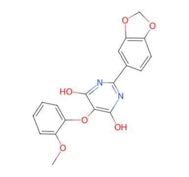 COc1ccccc1Oc1c(O)nc(-c2ccc3c(c2)OCO3)nc1O